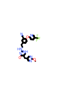 COc1ncc(Cc2c[nH]c(NCCc3ccc(Oc4ccc(C(F)(F)F)cn4)c(C#N)c3)nc2=O)cn1